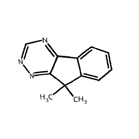 CC1(C)c2ccccc2-c2ncnnc21